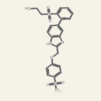 O=S(=O)(CCO)c1ccccc1-c1ccc2[nH]c(COc3ccc(S(=O)(=O)C(F)(F)F)cc3)nc2c1